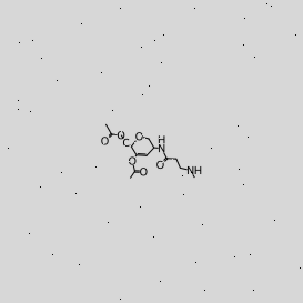 CNCCC(=O)NC1C=C(OC(C)=O)C(COC(C)=O)OC1